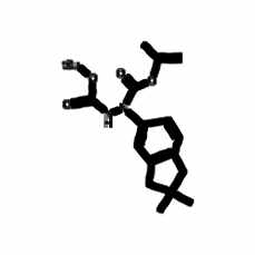 C=C(C)OC(=O)N(NC(=O)OC(C)(C)C)c1ccc2c(c1)CC(C)(C)C2